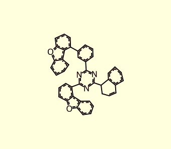 C1=Cc2ccccc2C(c2nc(-c3cccc(-c4cccc5oc6ccccc6c45)c3)nc(-c3cccc4oc5ccccc5c34)n2)C1